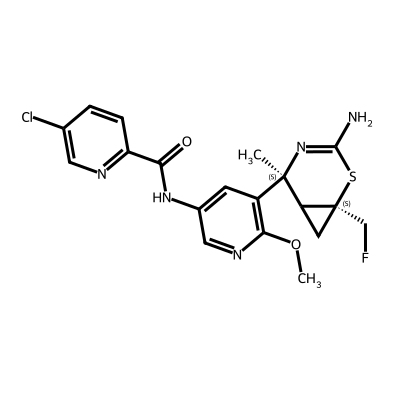 COc1ncc(NC(=O)c2ccc(Cl)cn2)cc1[C@@]1(C)N=C(N)S[C@@]2(CF)CC21